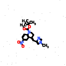 Cn1cnc(/C=C2\CCN(C(=O)OC(C)(C)C)c3ccc([N+](=O)[O-])cc32)c1